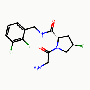 NCC(=O)N1C[C@H](F)C[C@H]1C(=O)NCc1cccc(Cl)c1F